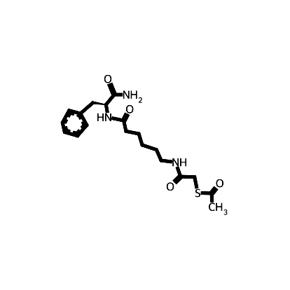 CC(=O)SCC(=O)NCCCCCC(=O)N[C@@H](Cc1ccccc1)C(N)=O